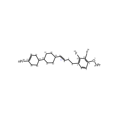 CCCOc1ccc(CC/C=C/C2CCC(C3CC=C(CCC)CC3)CC2)c(F)c1F